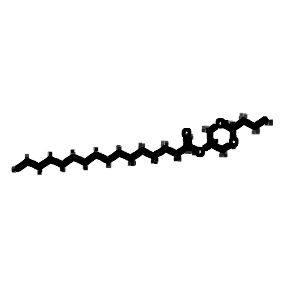 CCCCCCCCCCCCCCCC(=O)OC1COC(CCC)OC1